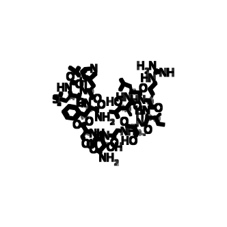 CC[C@H](C)[C@H](NC(=O)[C@@H](CCCNC(=N)N)NC(=O)[C@H](CC(C)C)NC(=O)[C@@H](C)[C@H](O)C(C)C)C(=O)N[C@H](C(=O)NCC(=O)N[C@H](C(=O)N[C@@H](CO)C(=O)O[C@H](c1ccccc1)[C@H](NC(=O)[C@H](Cc1cccnc1)NC(=O)[C@@H](C[Si](C)(C)C)NC(=O)OC(C)(C)C)C(N)=O)[C@H](O)C(N)=O)[C@H](C)O